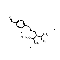 CC(C)N(CCOc1ccc(C=O)cc1)C(C)C.Cl